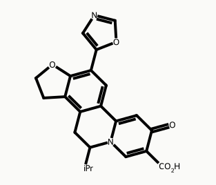 CC(C)C1Cc2c(cc(-c3cnco3)c3c2CCO3)-c2cc(=O)c(C(=O)O)cn21